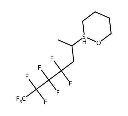 CC(CC(F)(F)C(F)(F)C(F)(F)C(F)(F)F)[SiH]1CCCCO1